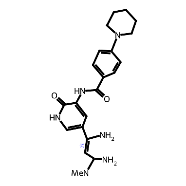 CNC(N)/C=C(\N)c1c[nH]c(=O)c(NC(=O)c2ccc(N3CCCCC3)cc2)c1